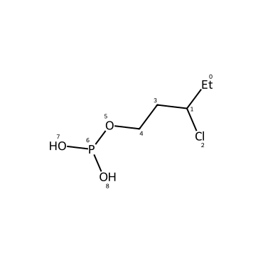 CCC(Cl)CCOP(O)O